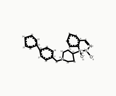 [O-][S+]1N=Cc2ccccc2[N+]1([O-])C1CCN(Cc2ccc(-c3ccccc3)cc2)CC1